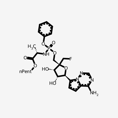 CCCCCOC(=O)[C@H](C)NP(=O)(OC[C@@]1(CF)O[C@@H](c2ccc3c(N)ncnn23)[C@H](O)[C@@H]1O)Oc1ccccc1